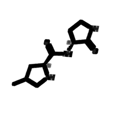 CC1CN[C@H](C(=O)N[C@@H]2CCNC2=O)C1